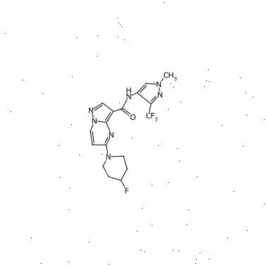 Cn1cc(NC(=O)c2cnn3ccc(N4CCC(F)CC4)nc23)c(C(F)(F)F)n1